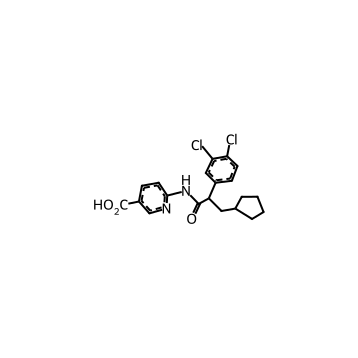 O=C(O)c1ccc(NC(=O)C(CC2CCCC2)c2ccc(Cl)c(Cl)c2)nc1